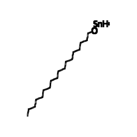 CCCCCCCCCCCCCCCCCC[O][SnH]